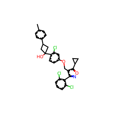 Cc1ccc(C2CC(O)(c3ccc(OCc4c(-c5c(Cl)cccc5Cl)noc4C4CC4)cc3Cl)C2)cc1